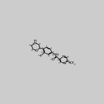 O=C(Nc1ccc(C2CNCCO2)c(F)c1)c1cnc(C(F)(F)F)cn1